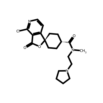 CN(CCN1CCCC1)C(=O)[C@H]1CC[C@@]2(CC1)OC(=O)c1c(Cl)nccc12